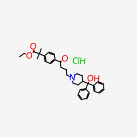 CCOC(=O)C(C)(C)c1ccc(C(=O)CCCN2CCC(C(O)(c3ccccc3)c3ccccc3)CC2)cc1.Cl